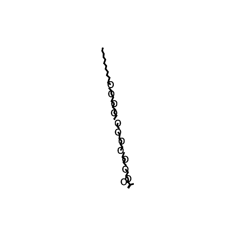 C=C(C)C(=O)OCCOCCOCCOCCOCCOCCOCCOCCOCCOCCOCCCCCCCCCCCC